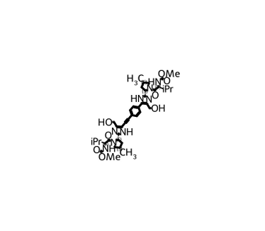 COC(=O)N[C@H](C(=O)N1C[C@@H](C)C[C@H]1c1nc(CO)c(C#Cc2ccc(-c3[nH]c([C@@H]4C[C@H](C)CN4C(=O)[C@@H](NC(=O)OC)C(C)C)nc3CO)cc2)[nH]1)C(C)C